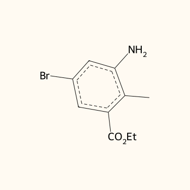 CCOC(=O)c1cc(Br)cc(N)c1C